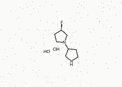 Cl.Cl.F[C@@H]1CCN(C2CCNC2)C1